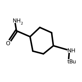 CC(C)(C)NC1CCC(C(N)=O)CC1